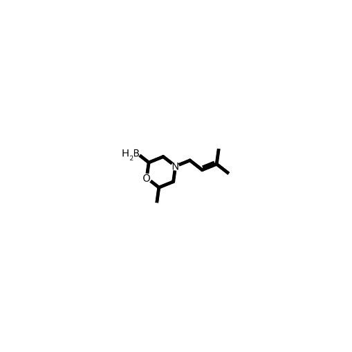 BC1CN(CC=C(C)C)CC(C)O1